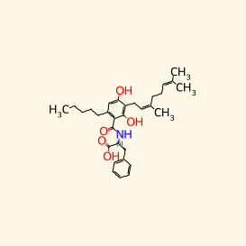 CCCCCc1cc(O)c(CC=C(C)CCC=C(C)C)c(O)c1C(=O)N[C@@H](Cc1ccccc1)C(=O)O